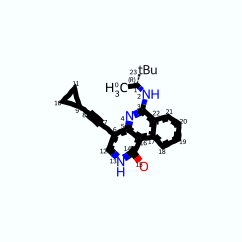 C[C@@H](Nc1nc2c(C#CC3CC3)c[nH]c(=O)c2c2ccccc12)C(C)(C)C